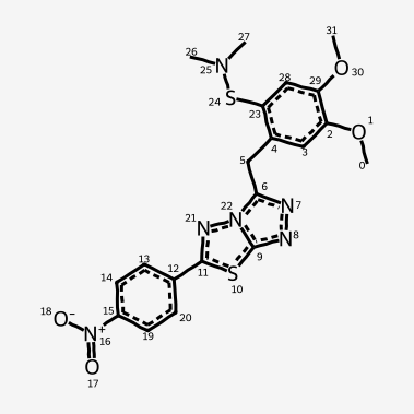 COc1cc(Cc2nnc3sc(-c4ccc([N+](=O)[O-])cc4)nn23)c(SN(C)C)cc1OC